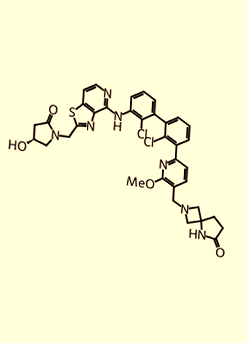 COc1nc(-c2cccc(-c3cccc(Nc4nccc5sc(CN6C[C@@H](O)CC6=O)nc45)c3Cl)c2Cl)ccc1CN1CC2(CCC(=O)N2)C1